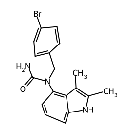 Cc1[nH]c2cccc(N(Cc3ccc(Br)cc3)C(N)=O)c2c1C